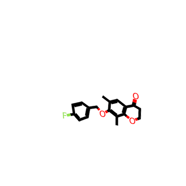 Cc1cc2c(c(C)c1OCc1ccc(F)cc1)OCCC2=O